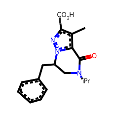 Cc1c(C(=O)O)nn2c1C(=O)N(C(C)C)CC2Cc1ccccc1